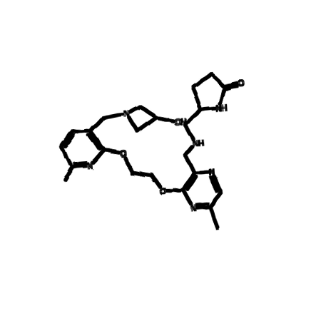 Cc1ccc(CN2CC(O)C2)c(OCCOc2nc(C)cnc2CNCC2CCC(=O)N2)n1